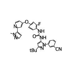 Cn1nccc1-c1cc(Oc2ccc(NC(=O)Nc3cc(C(C)(C)C)nn3-c3cccc(C#N)c3)c(F)c2)ccn1